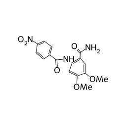 COc1cc(NC(=O)c2ccc([N+](=O)[O-])cc2)c(C(N)=O)cc1OC